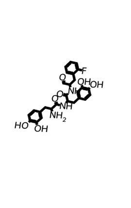 NC(Cc1ccc(O)c(O)c1)C(=O)NC(Cc1ccc(O)c(O)c1)C(=O)NC(C=O)Cc1ccccc1F